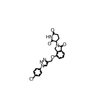 O=C1CCC(N2Cc3c(OCc4cn(-c5ccc(Cl)cc5)nn4)cccc3C2=O)C(=O)N1